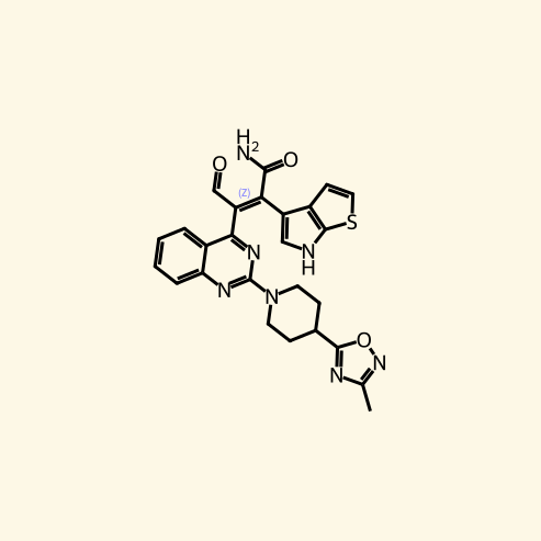 Cc1noc(C2CCN(c3nc(/C(C=O)=C(/C(N)=O)c4c[nH]c5sccc45)c4ccccc4n3)CC2)n1